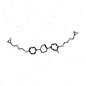 Cc1cc(C2=CCC(c3ccc(OCCOCC4CO4)cc3)CC2)ccc1OCCOCC1CO1